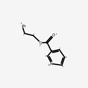 CC(C)CCOC(=O)c1cccnc1